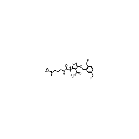 NC(=O)c1c(OCc2cc(CF)ccc2CF)nsc1NC(=O)NCCCNC1CC1